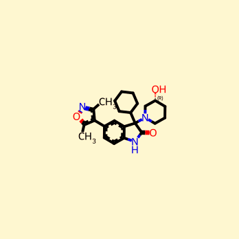 Cc1noc(C)c1-c1ccc2c(c1)C(C1CCCCC1)(N1CCC[C@@H](O)C1)C(=O)N2